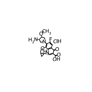 COc1c(N2C[C@@H](N)[C@@H](OC)C2)c(F)cc2c(=O)c(C(=O)O)cn(C3CC3)c12.Cl